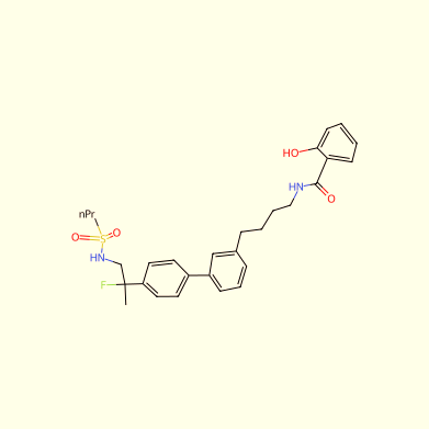 CCCS(=O)(=O)NCC(C)(F)c1ccc(-c2cccc(CCCCNC(=O)c3ccccc3O)c2)cc1